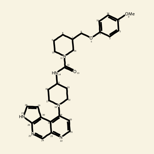 COc1ccc(OCC2CCCN(C(=O)NC3CCN(c4ccnc5cnc6[nH]ccc6c45)CC3)C2)cc1